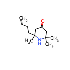 C=CCCC1(C)CC(=O)CC(C)(C)N1